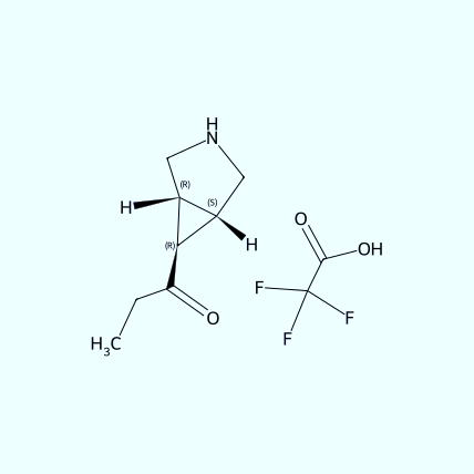 CCC(=O)[C@H]1[C@@H]2CNC[C@@H]21.O=C(O)C(F)(F)F